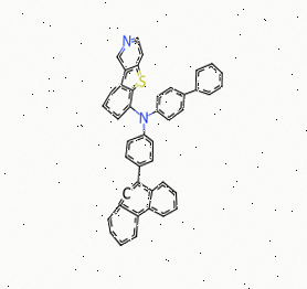 c1ccc(-c2ccc(N(c3ccc(-c4cc5ccccc5c5ccccc45)cc3)c3cccc4c3sc3ccncc34)cc2)cc1